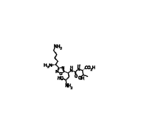 CC(O)[C@H](NC(=O)N[C@@H](CC(N)O)c1nc([C@@H](N)CCCCN)no1)C(=O)O